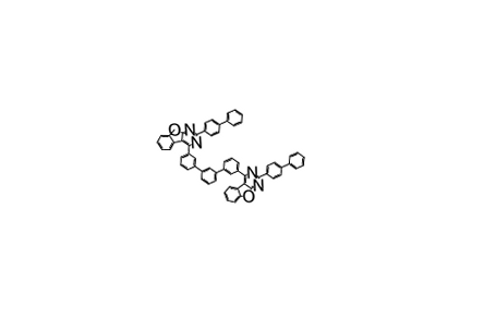 c1ccc(-c2ccc(-c3nc(-c4cccc(-c5cccc(-c6cccc(-c7nc(-c8ccc(-c9ccccc9)cc8)nc8oc9ccccc9c78)c6)c5)c4)c4c(n3)oc3ccccc34)cc2)cc1